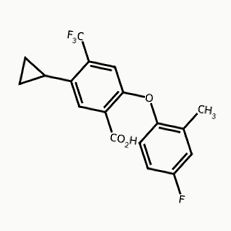 Cc1cc(F)ccc1Oc1cc(C(F)(F)F)c(C2CC2)cc1C(=O)O